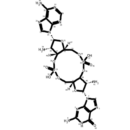 Nc1nc2c(ncn2[C@@H]2O[C@@H]3COP(=O)(O)O[C@@H]4[C@H](N)[C@H](n5cnc6c(N)ncnc65)O[C@@H]4COP(=O)(O)OC3[C@@H]2N)c(=O)[nH]1